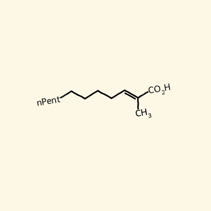 CCCCCCCCCC=C(C)C(=O)O